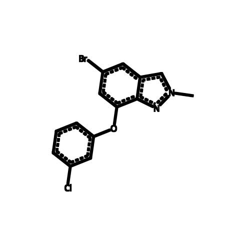 Cn1cc2cc(Br)cc(Oc3cccc(Cl)c3)c2n1